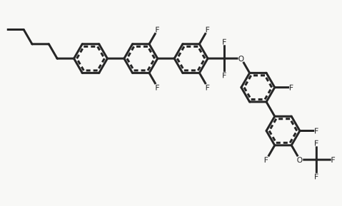 CCCCCc1ccc(-c2cc(F)c(-c3cc(F)c(C(F)(F)Oc4ccc(-c5cc(F)c(OC(F)(F)F)c(F)c5)c(F)c4)c(F)c3)c(F)c2)cc1